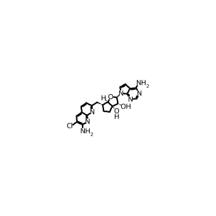 Nc1nc2nc(C[C@@H]3CC[C@@]4(O)[C@@H]3O[C@@H](n3ccc5c(N)ncnc53)[C@@H]4O)ccc2cc1Cl